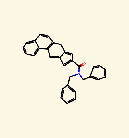 O=C(C1=CC2=Cc3c(ccc4ccccc34)CC2=C1)N(Cc1ccccc1)Cc1ccccc1